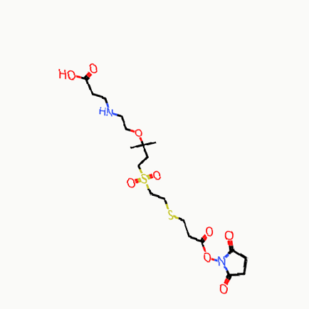 CC(C)(CCS(=O)(=O)CCSCCC(=O)ON1C(=O)CCC1=O)OCCNCCC(=O)O